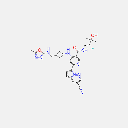 Cc1nnc(NCC2CC(Nc3cc(-c4ccc5cc(C#N)cnn45)ncc3C(=O)NC[C@@H](F)C(C)(C)O)C2)o1